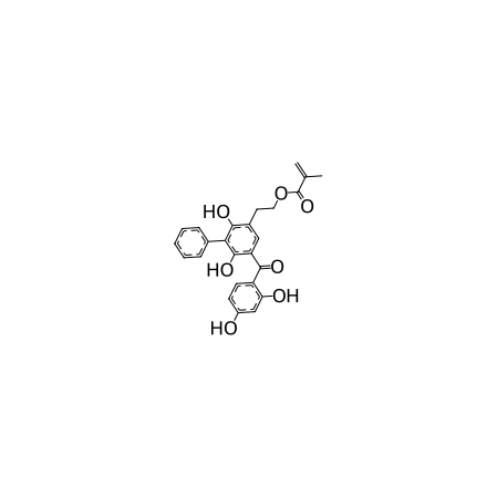 C=C(C)C(=O)OCCc1cc(C(=O)c2ccc(O)cc2O)c(O)c(-c2ccccc2)c1O